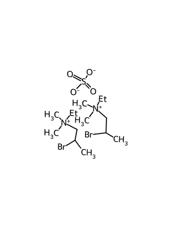 CC[N+](C)(C)CC(C)Br.CC[N+](C)(C)CC(C)Br.O=S(=O)([O-])[O-]